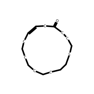 O=C1CC=CCCCCCCCCCCCCC1